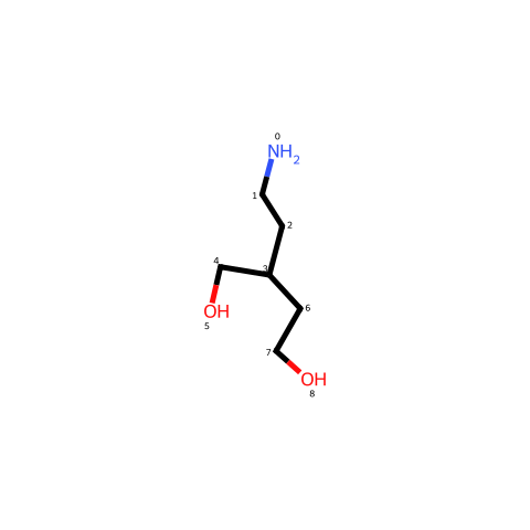 NCCC(CO)CCO